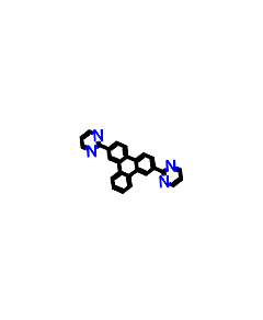 c1cnc(-c2ccc3c4ccc(-c5ncccn5)cc4c4ccccc4c3c2)nc1